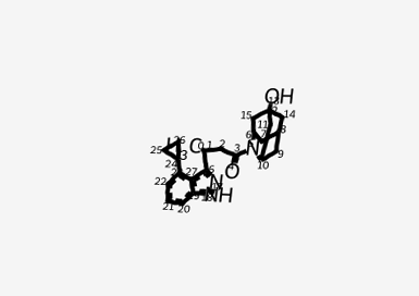 CC(CC(=O)N1C2CC3CC1CC(O)(C3)C2)c1n[nH]c2cccc(C3CC3)c12